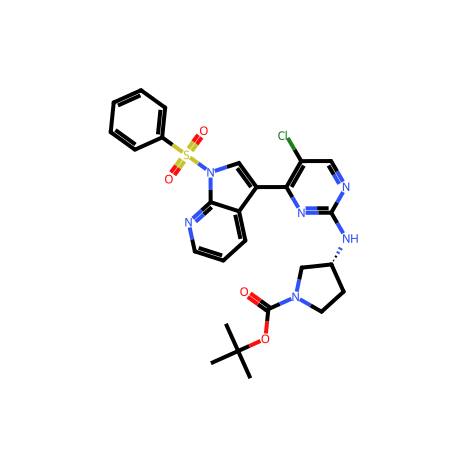 CC(C)(C)OC(=O)N1CC[C@@H](Nc2ncc(Cl)c(-c3cn(S(=O)(=O)c4ccccc4)c4ncccc34)n2)C1